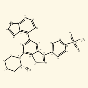 C[C@@H]1COCCN1c1nc(-c2ccnc3[nH]ccc23)nc2c(-c3ccc(S(C)(=O)=O)cc3)csc12